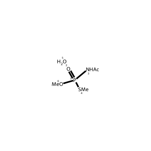 COP(=O)(NC(C)=O)SC.O